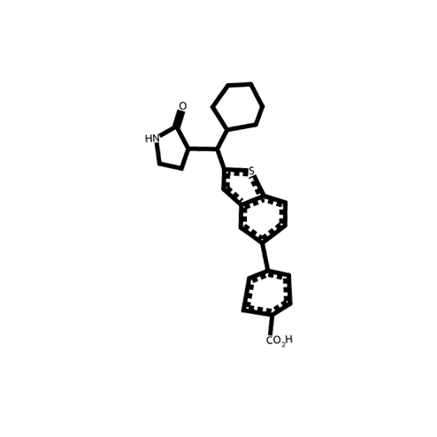 O=C(O)c1ccc(-c2ccc3sc(C(C4CCCCC4)C4CCNC4=O)cc3c2)cc1